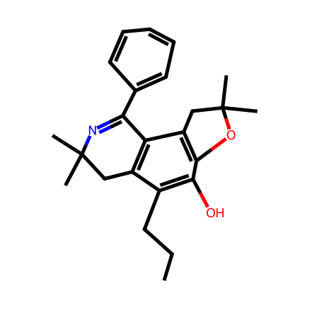 CCCc1c(O)c2c(c3c1CC(C)(C)N=C3c1ccccc1)CC(C)(C)O2